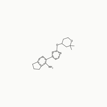 CC1(C)CC(Oc2cc(-c3ccc4c(c3N)CCC4)ccn2)CCO1